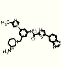 Cc1cn(-c2cc(CN3CCC[C@H](N)C3)cc(NC(=O)c3ncc(-c4ccc5scnc5c4)s3)c2)cn1